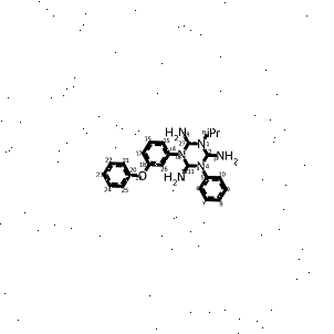 CC(C)N1C(N)N(c2ccccc2)C(N)N(c2cccc(Oc3ccccc3)c2)C1N